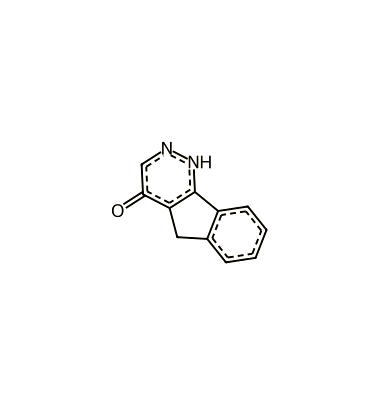 O=c1cn[nH]c2c1Cc1ccccc1-2